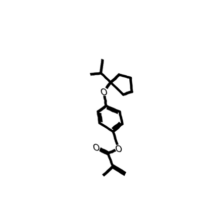 C=C(C)C(=O)Oc1ccc(OC2(C(C)C)CCCC2)cc1